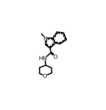 Cn1cc(C(=O)NC2CCOCC2)c2ccccc21